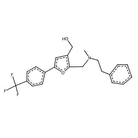 CN(CCc1ccccc1)Cc1oc(-c2ccc(C(F)(F)F)cc2)cc1CO